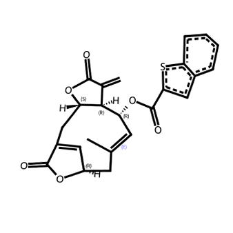 C=C1C(=O)O[C@H]2CC3=C[C@@H](C/C(C)=C/[C@@H](OC(=O)c4cc5ccccc5s4)[C@H]12)OC3=O